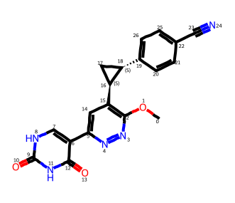 COc1nnc(-c2c[nH]c(=O)[nH]c2=O)cc1[C@H]1C[C@@H]1c1ccc(C#N)cc1